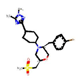 Cc1nc(C2CCC(N3C[C@H](CS(C)(=O)=O)OC[C@@H]3Cc3ccc(Br)cc3)CC2)nn1C